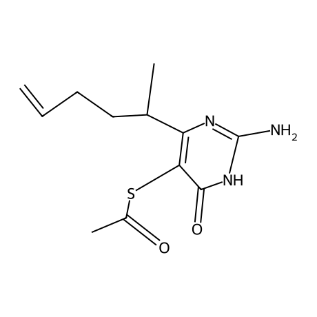 C=CCCC(C)c1nc(N)[nH]c(=O)c1SC(C)=O